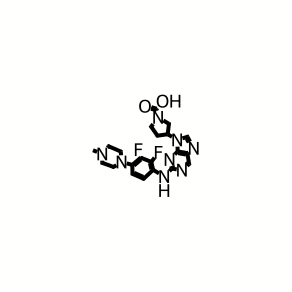 CN1CCN(c2ccc(Nc3ncc4ncn(C5CCN(C(=O)O)C5)c4n3)c(F)c2F)CC1